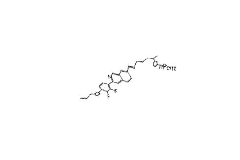 C=CCOc1ccc(-c2cc3ccc(C=CCCCC(C)OCCCCC)cc3cn2)c(F)c1F